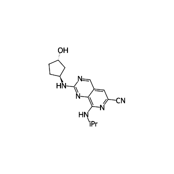 CC(C)Nc1nc(C#N)cc2cnc(N[C@H]3CC[C@H](O)C3)nc12